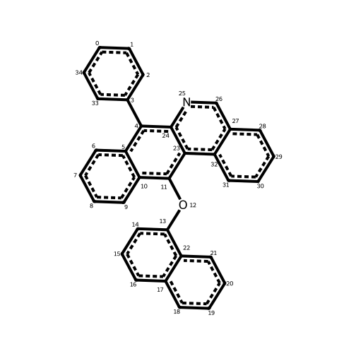 c1ccc(-c2c3ccccc3c(Oc3cccc4ccccc34)c3c2ncc2ccccc23)cc1